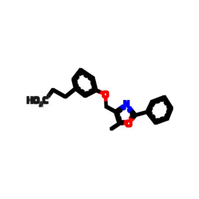 Cc1oc(-c2ccccc2)nc1COc1cccc(CCC(=O)O)c1